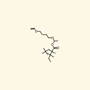 C=COCCCCOC(C)OC(=O)C(C)(CC(C)(C)C)C(C)(C)CC